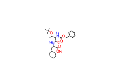 CC(OC(C)(C)C)C(NC(=O)OCc1ccccc1)C(=O)NC(CC1CCCCC1)C(=O)O